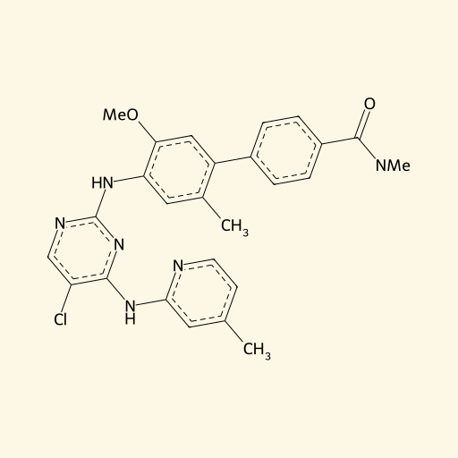 CNC(=O)c1ccc(-c2cc(OC)c(Nc3ncc(Cl)c(Nc4cc(C)ccn4)n3)cc2C)cc1